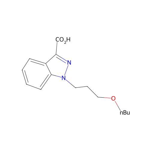 CCCCOCCCn1nc(C(=O)O)c2ccccc21